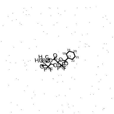 COC(=O)C(OCC(F)(F)S(=O)(=O)O)(OC(=O)C1CCCCC1)C(F)(F)F